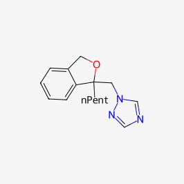 CCCCCC1(Cn2cncn2)OCc2ccccc21